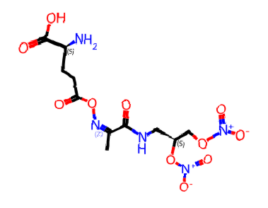 C/C(=N/OC(=O)CC[C@H](N)C(=O)O)C(=O)NC[C@@H](CO[N+](=O)[O-])O[N+](=O)[O-]